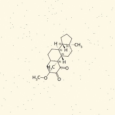 COC1=CC2CC[C@H]3[C@@H]4CCC[C@@]4(C)CC[C@@H]3[C@@]2(C)C(=O)C1=O